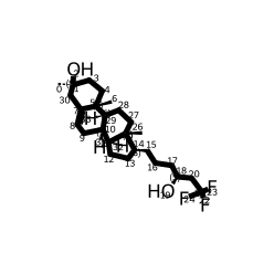 C[C@]1(O)CC[C@@]2(C)C(=CC[C@H]3[C@@H]4CC[C@H](CCC[C@H](O)CC(F)(F)F)[C@@]4(C)CC[C@@H]32)C1